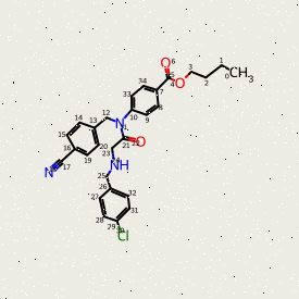 CCCCOC(=O)c1ccc(N(Cc2ccc(C#N)cc2)C(=O)CNCc2ccc(Cl)cc2)cc1